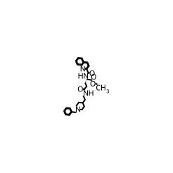 CCOC(=O)[C@H](CCC(=O)NCCC1CCN(Cc2ccccc2)CC1)NC(=O)c1ccc2ccccc2n1